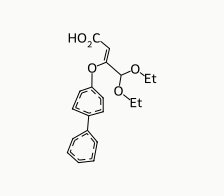 CCOC(OCC)/C(=C/C(=O)O)Oc1ccc(-c2ccccc2)cc1